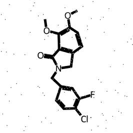 COc1ccc2c(c1OC)C(=O)N(Cc1ccc(Cl)c(F)c1)C2